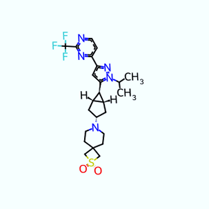 CC(C)n1nc(-c2ccnc(C(F)(F)F)n2)cc1[C@H]1[C@@H]2C[C@H](N3CCC4(CC3)CS(=O)(=O)C4)C[C@@H]21